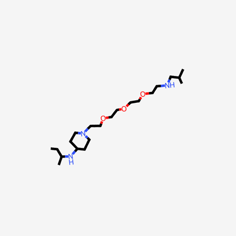 CCC(C)NC1CCN(CCOCCOCCOCCNCC(C)C)CC1